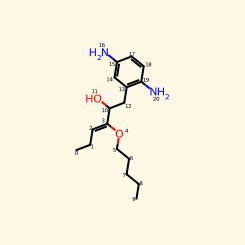 CCC=C(OCCCCC)C(O)Cc1cc(N)ccc1N